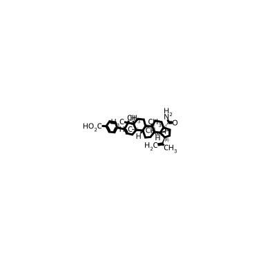 C=C(C)[C@@H]1CC[C@]2(C(N)=O)CC[C@]3(C)[C@H](CC[C@@H]4[C@@]5(C)CC=C(c6ccc(C(=O)O)cc6)C(C)(C)[C@@H]5CC[C@]43C)[C@@H]12